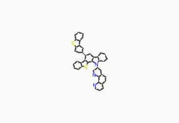 c1cnc2c(c1)ccc1cc(-n3c4ccccc4c4cc(-c5ccc6sc7ccccc7c6c5)c5c6ccccc6sc5c43)cnc12